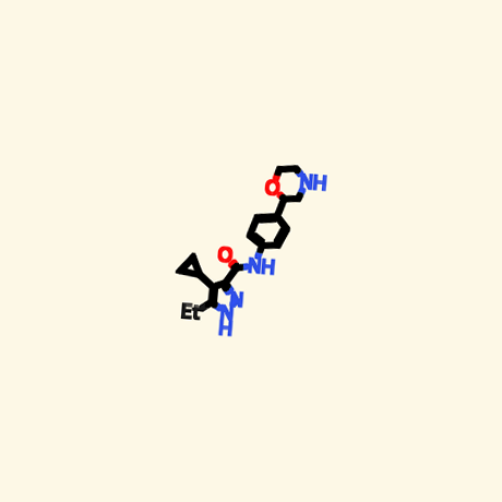 CCc1[nH]nc(C(=O)Nc2ccc(C3CNCCO3)cc2)c1C1CC1